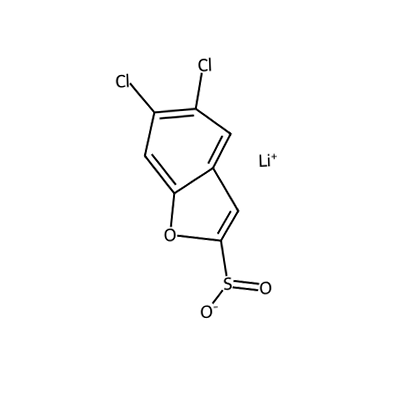 O=S([O-])c1cc2cc(Cl)c(Cl)cc2o1.[Li+]